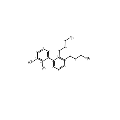 CCCCc1cccc(-c2cccc(C)c2C)c1CCCC